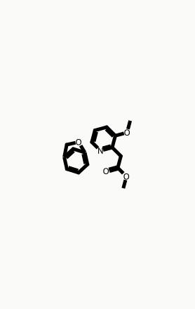 COC(=O)Cc1ncccc1OC.c1cc2cc(c1)OC2